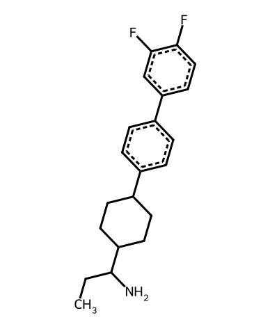 CCC(N)C1CCC(c2ccc(-c3ccc(F)c(F)c3)cc2)CC1